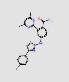 Cc1cc(C)nc(-c2cc(Nc3nc(-c4ccc(F)cc4)cs3)ccc2C(N)=O)n1